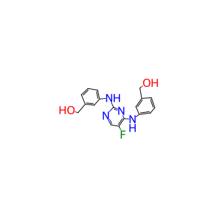 OCc1cccc(Nc2ncc(F)c(Nc3cccc(CO)c3)n2)c1